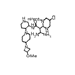 CCCCCN1CC(Cl)CNC1C(C(=O)NC1CNCCC1N1CCC(N2CC(OC)C2)CC1)C(N)N